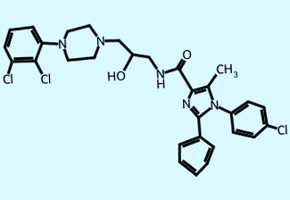 Cc1c(C(=O)NCC(O)CN2CCN(c3cccc(Cl)c3Cl)CC2)nc(-c2ccccc2)n1-c1ccc(Cl)cc1